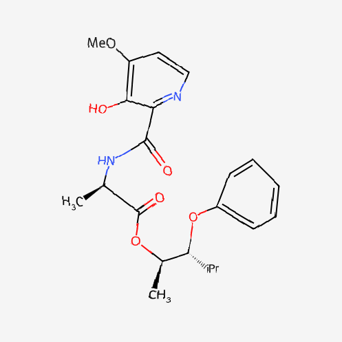 COc1ccnc(C(=O)N[C@H](C)C(=O)O[C@H](C)[C@H](Oc2ccccc2)C(C)C)c1O